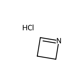 C1=NCC1.Cl